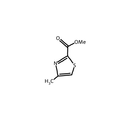 COC(=O)c1nc(C)cs1